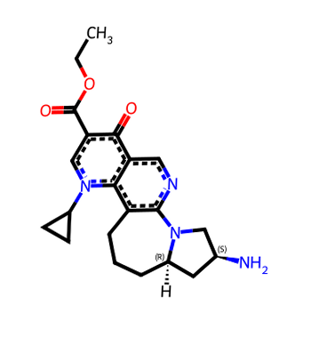 CCOC(=O)c1cn(C2CC2)c2c3c(ncc2c1=O)N1C[C@@H](N)C[C@H]1CCC3